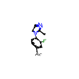 CC(=O)c1ccc(-n2ccnc2C)c(F)c1